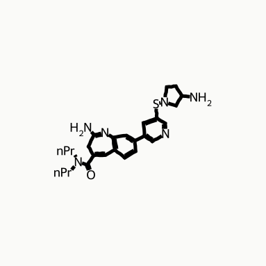 CCCN(CCC)C(=O)C1=Cc2ccc(-c3cncc(SN4CCC(N)C4)c3)cc2N=C(N)C1